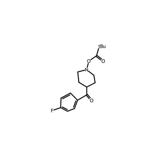 CC(C)(C)C(=O)ON1CCC(C(=O)c2ccc(F)cc2)CC1